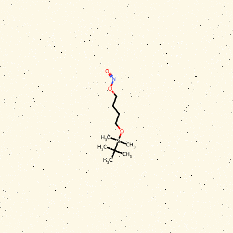 CC(C)(C)[Si](C)(C)OCCCCON=O